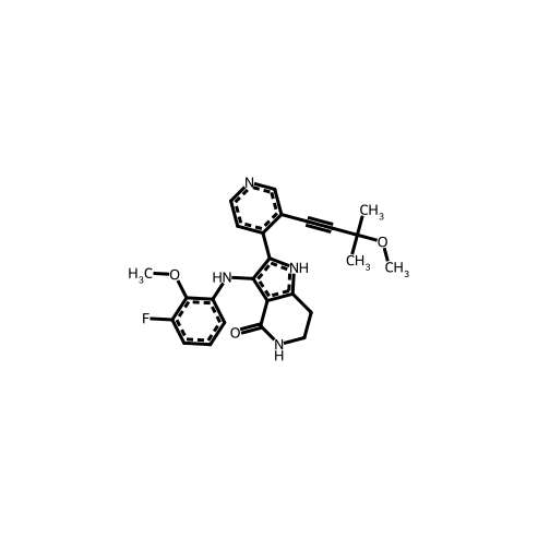 COc1c(F)cccc1Nc1c(-c2ccncc2C#CC(C)(C)OC)[nH]c2c1C(=O)NCC2